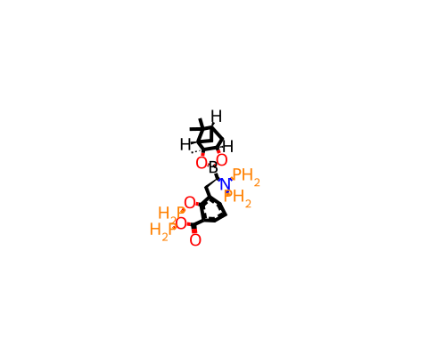 CC1(C)[C@@H]2C[C@H]3OB([C@H](Cc4cccc(C(=O)OP)c4OP)N(P)P)O[C@@]3(C)[C@H]1C2